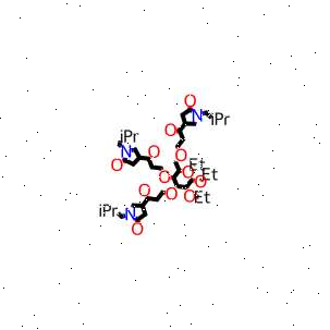 CCOCC(OCC)C(OCCC(=O)C1CC(=O)N(CC(C)C)C1)C(OCCC(=O)C1CC(=O)N(CC(C)C)C1)C(COCCC(=O)C1CC(=O)N(CC(C)C)C1)OCC